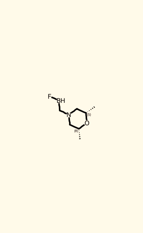 C[C@@H]1CN(CBF)C[C@H](C)O1